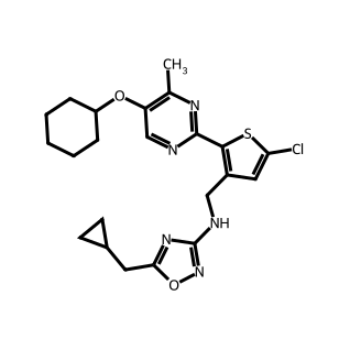 Cc1nc(-c2sc(Cl)cc2CNc2noc(CC3CC3)n2)ncc1OC1CCCCC1